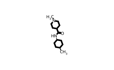 CN1CCC(C(=O)N[C@H]2CC[C@H](C)CC2)CC1